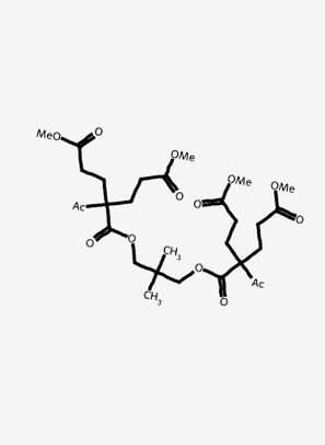 COC(=O)CCC(CCC(=O)OC)(C(C)=O)C(=O)OCC(C)(C)COC(=O)C(CCC(=O)OC)(CCC(=O)OC)C(C)=O